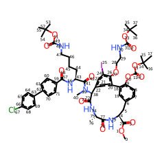 COC(=O)[C@@H]1Cc2ccc(OC(=O)OC(C)(C)C)c(c2)-c2cc(cc(I)c2OCCNC(=O)OC(C)(C)C)[C@H](N(C)C(=O)[C@H](CCCCNC(=O)OC(C)(C)C)NC(=O)c2ccc(-c3ccc(Cl)cc3)cc2)C(=O)N[C@@H](C)C(=O)N1